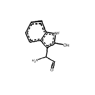 NC([C]=O)c1c(O)[nH]c2ccccc12